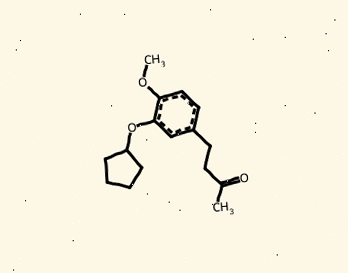 COc1ccc(CCC(C)=O)cc1OC1CCCC1